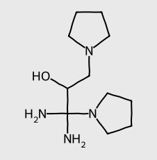 NC(N)(C(O)CN1CCCC1)N1CCCC1